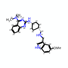 COc1ccc2[nH]cc(CNC[C@H]3CC[C@@H](Nc4nc(N(C)C)c5ccccc5n4)CC3)c2c1